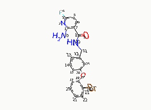 Nc1nc(F)ccc1C(=O)NCc1cccc(Oc2ccccc2Br)c1